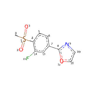 CS(=O)(=O)c1ccc(-c2ncco2)cc1F